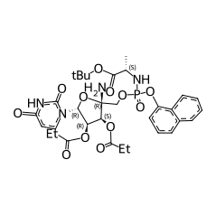 CCC(=O)O[C@H]1[C@H](n2ccc(=O)[nH]c2=O)O[C@](N)(COP(=O)(N[C@@H](C)C(=O)OC(C)(C)C)Oc2cccc3ccccc23)[C@H]1OC(=O)CC